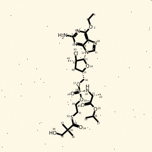 CCOc1nc(N)nc2c1ncn2[C@@H]1O[C@H](CO[P@@](=O)(N[C@H](C)C(=O)OC(C)C)OCCSC(=O)C(C)(C)CO)C[C@@]1(C)Cl